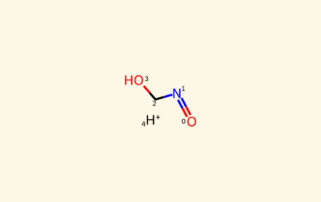 O=NCO.[H+]